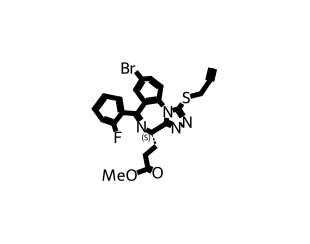 C#CCSc1nnc2n1-c1ccc(Br)cc1C(c1ccccc1F)=N[C@H]2CCC(=O)OC